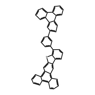 c1cc(-c2ccc3c4ccccc4c4ccccc4c3c2)cc(-c2cccc3c2sc2cc4c5ccccc5c5ccccc5c4cc23)c1